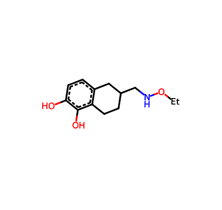 CCONCC1CCc2c(ccc(O)c2O)C1